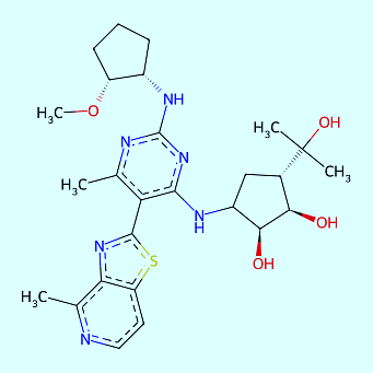 CO[C@@H]1CCC[C@@H]1Nc1nc(C)c(-c2nc3c(C)nccc3s2)c(NC2C[C@H](C(C)(C)O)[C@@H](O)[C@H]2O)n1